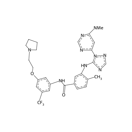 CNc1cc(-n2ncnc2Nc2cc(C(=O)Nc3cc(OCCN4CCCC4)cc(C(F)(F)F)c3)ccc2C)ncn1